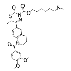 COc1ccc(C(=O)N2CCCc3cc(C4=NN(C(=O)OCCCCCCN(C)C)C(=O)SC4C)ccc32)cc1OC